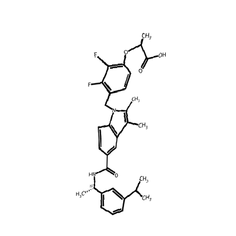 Cc1c(C)n(Cc2ccc(OC(C)C(=O)O)c(F)c2F)c2ccc(C(=O)N[C@@H](C)c3cccc(C(C)C)c3)cc12